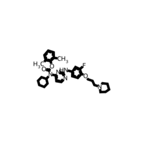 Cc1cccc(C)c1OC(=O)N(c1ccnc(Nc2ccc(OCCCN3CCCCC3)c(F)c2)n1)C1CCCCC1